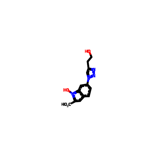 O=C(O)c1cc2ccc(-n3cc(CCO)nn3)cc2n1O